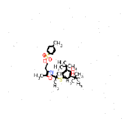 Cc1ccc(S(=O)(=O)OCCc2nc(C(C)(C)Sc3cc(C(C)(C)C)c(O)c(C(C)(C)C)c3)oc2C)cc1